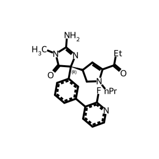 CCCN1CC([C@]2(c3cccc(-c4cccnc4F)c3)N=C(N)N(C)C2=O)C=C1C(=O)CC